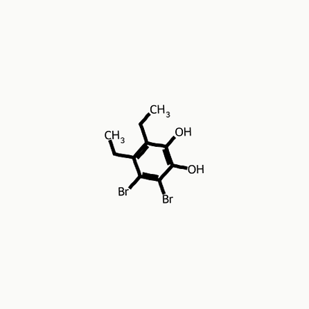 CCc1c(O)c(O)c(Br)c(Br)c1CC